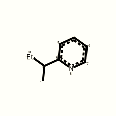 C[CH]C(C)c1ccccn1